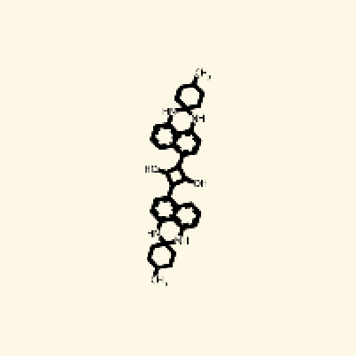 CC1CCC2(CC1)Nc1cccc3c(C4C(O)C(c5ccc6c7c(cccc57)NC5(CCC(C)CC5)N6)C4O)ccc(c13)N2